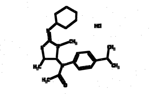 CC(=O)N(c1ccc(C(C)C)cc1)C1C(C)SC(=NC2CCCCC2)N1C.Cl